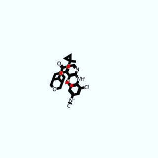 [C-]#[N+]c1cc(F)c(Nc2ncnc(OC3C4COCC3CN(C(=O)OC3(C)CC3)C4)c2OC)c(Cl)c1